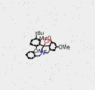 COc1cc2c(c(OC)c1)C(O)(c1cc(C(C)(C)C)ccc1OC)CN(Cc1ccccc1)C2